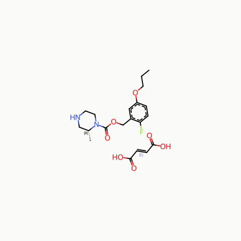 CCCOc1ccc(F)c(COC(=O)N2CCNC[C@H]2C)c1.O=C(O)/C=C/C(=O)O